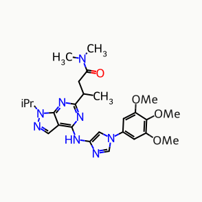 COc1cc(-n2cnc(Nc3nc(C(C)CC(=O)N(C)C)nc4c3cnn4C(C)C)c2)cc(OC)c1OC